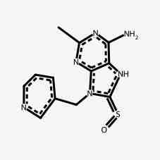 Cc1nc(N)c2[nH]c(=S=O)n(Cc3cccnc3)c2n1